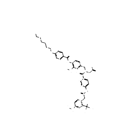 C=C(O)CN(Cc1ccc(OC(=O)c2ccc(OCCCCCCC)cc2)c(OC)c1)C(=O)c1ccc(NC(=O)Cc2ccc(OC)cc2C(F)(F)F)cc1